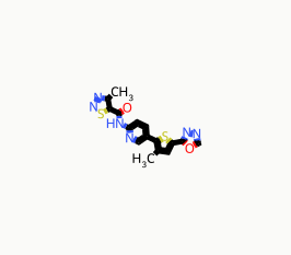 Cc1cc(-c2nnco2)sc1-c1ccc(NC(=O)C2SN=NC2C)nc1